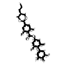 CCCC1COC(c2cc(F)c(C(=O)Oc3cc(F)c(-c4cc(F)c(F)c(F)c4)c(F)c3)c(F)c2)OC1